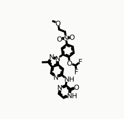 COCCS(=O)(=O)c1ccc(OC(F)F)c(-n2nc(C)c3cnc(Nc4ncc[nH]c4=O)cc32)c1